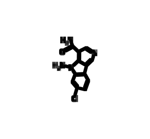 NC(=O)c1cncc2c3ccc(Cl)cc3n(N)c12